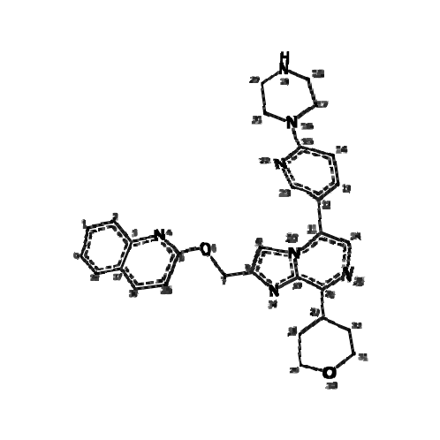 c1ccc2nc(OCc3cn4c(-c5ccc(N6CCNCC6)nc5)cnc(C5CCOCC5)c4n3)ccc2c1